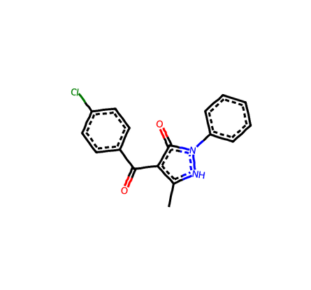 Cc1[nH]n(-c2ccccc2)c(=O)c1C(=O)c1ccc(Cl)cc1